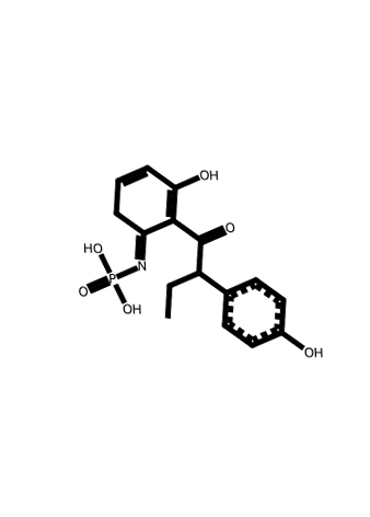 CCC(C(=O)C1=C(O)C=CCC1=NP(=O)(O)O)c1ccc(O)cc1